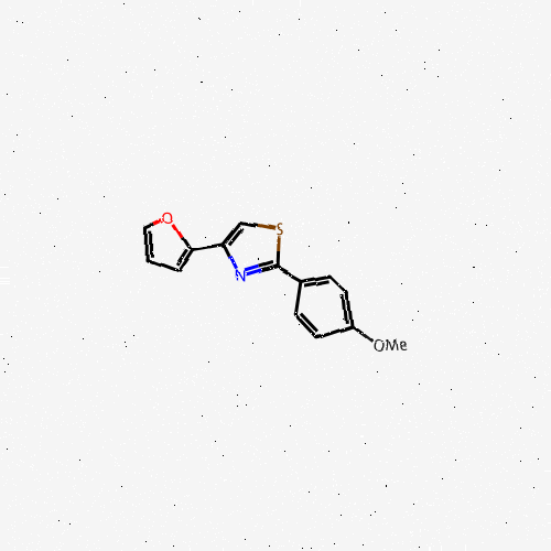 COc1ccc(-c2nc(-c3ccco3)cs2)cc1